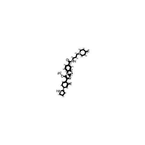 CC(C)Oc1c(C2=CCC([C@H]3CCCN3)C=C2F)nc2sc3cc(C(=O)NCCCN4CCC(F)CC4)ccc3n12